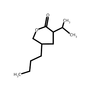 CCCCC1COC(=O)C(C(C)C)C1